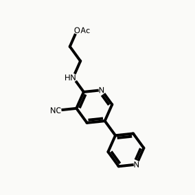 CC(=O)OCCNc1ncc(-c2ccncc2)cc1C#N